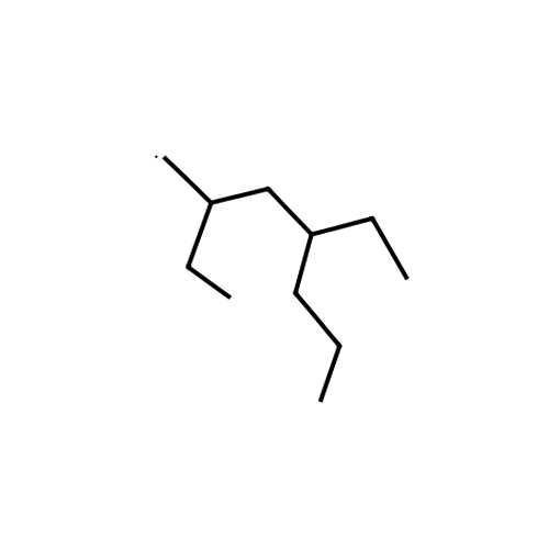 [CH2]C(CC)CC(CC)CCC